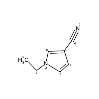 CCn1ccc(C#N)c1